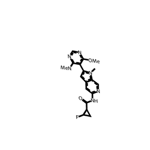 CNc1ncnc(OC)c1-c1cc2cc(NC(=O)C3CC3F)ncc2n1C